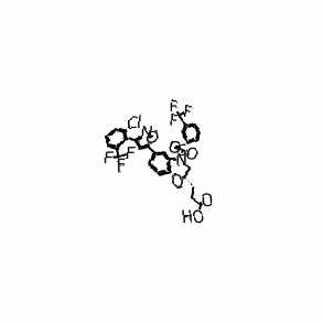 O=C(O)CC[C@H]1CN(S(=O)(=O)c2cccc(C(F)(F)F)c2)c2cc(-c3cc(-c4c(Cl)cccc4C(F)(F)F)no3)ccc2O1